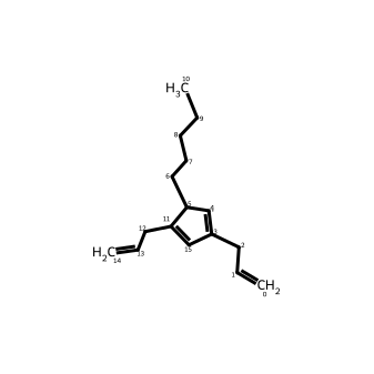 C=CCC1=[C]C(CCCCC)C(CC=C)=C1